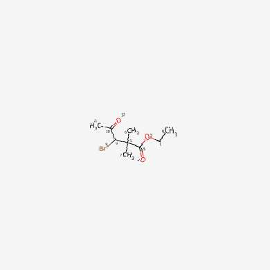 CCOC(=O)C(C)(C)C(Br)C(C)=O